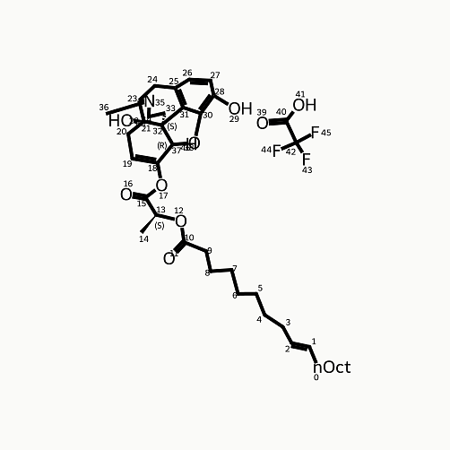 CCCCCCCCC=CCCCCCCCC(=O)O[C@@H](C)C(=O)OC1=CC[C@]2(O)C3Cc4ccc(O)c5c4[C@@]2(CCN3C)[C@H]1O5.O=C(O)C(F)(F)F